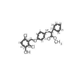 COC(=O)C(Sc1ccc(OCc2c(Cl)ccc(O)c2Cl)cc1)c1ccccc1